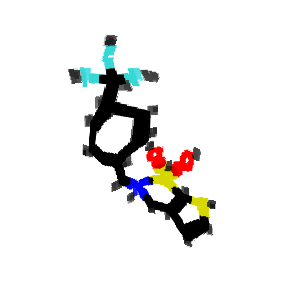 O=S1(=O)c2sccc2CN1Cc1ccc(C(F)(F)F)cc1